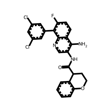 Nc1c(NC(=O)C2CCOc3ccccc32)cnc2c(-c3cc(Cl)cc(Cl)c3)c(F)ccc12